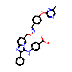 Cc1cncc(Oc2ccc(/C=N/OCc3ccc4nc(-c5ccccc5)c(Nc5ccc(C(=O)O)cc5)n4c3)cc2)n1